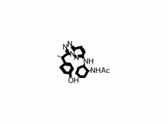 CC(=O)N[C@@H]1CCCC[C@H]1Nc1ccc2nnc([C@@H](C)c3ccc(O)cc3)n2n1